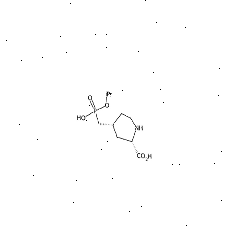 CC(C)OP(=O)(O)C[C@@H]1CCN[C@H](C(=O)O)C1